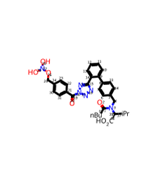 CCCCC(=O)N(Cc1ccc(-c2ccccc2-c2nnn(C(=O)c3ccc(CON(O)O)cc3)n2)cc1)[C@H](C(=O)O)C(C)C